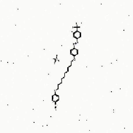 F[B-](F)(F)F.N#[N+]c1ccc(OCCCCCCCCCCOc2ccc(/N=N/c3ccc(C(F)(F)F)cc3)cc2)cc1